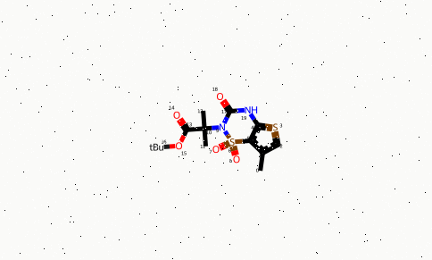 Cc1csc2c1S(=O)(=O)N(C(C)(C)C(=O)OC(C)(C)C)C(=O)N2